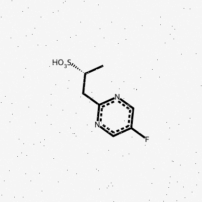 C[C@H](Cc1ncc(F)cn1)S(=O)(=O)O